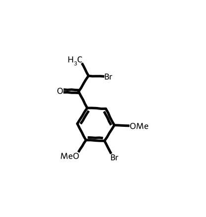 COc1cc(C(=O)C(C)Br)cc(OC)c1Br